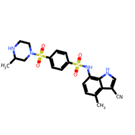 Cc1ccc(NS(=O)(=O)c2ccc(S(=O)(=O)N3CCNC(C)C3)cc2)c2[nH]cc(C#N)c12